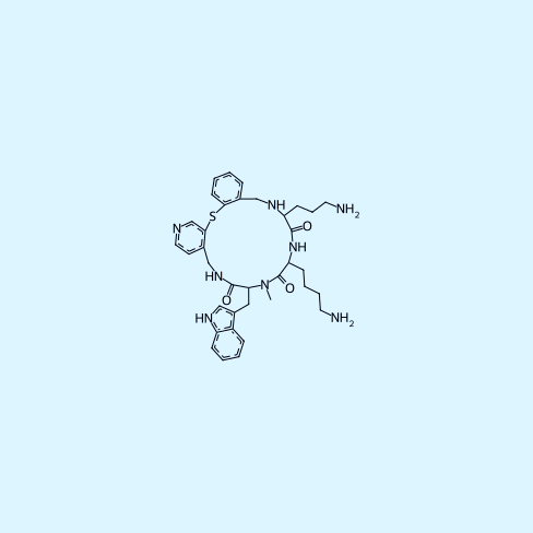 CN1C(=O)C(CCCCN)NC(=O)C(CCCN)NCc2ccccc2Sc2cnccc2CNC(=O)C1Cc1c[nH]c2ccccc12